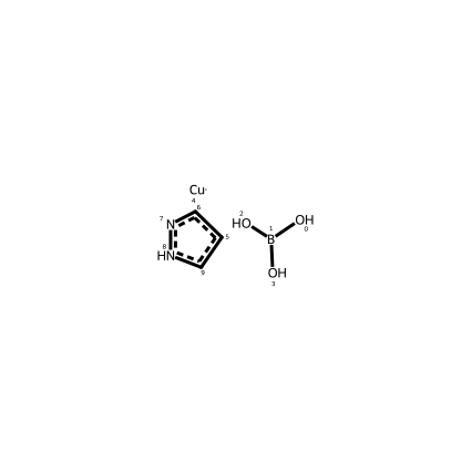 OB(O)O.[Cu].c1cn[nH]c1